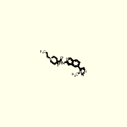 Cn1nncc1-c1ccc2cnc(NC(=O)C3(F)CCN(CCC(F)(F)F)CC3)cc2c1